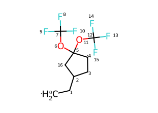 [CH2]CC1C[CH]C(OC(F)(F)F)(OC(F)(F)F)C1